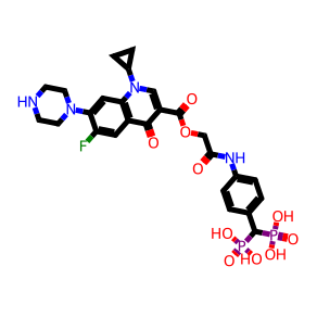 O=C(COC(=O)c1cn(C2CC2)c2cc(N3CCNCC3)c(F)cc2c1=O)Nc1ccc(C(P(=O)(O)O)P(=O)(O)O)cc1